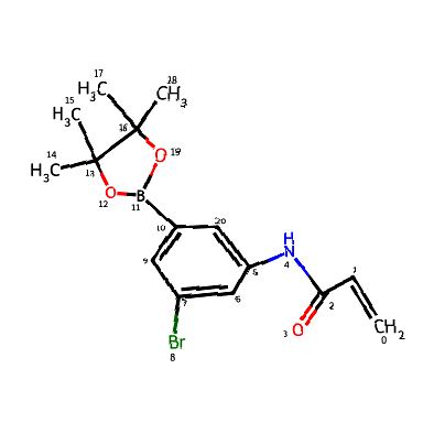 C=CC(=O)Nc1cc(Br)cc(B2OC(C)(C)C(C)(C)O2)c1